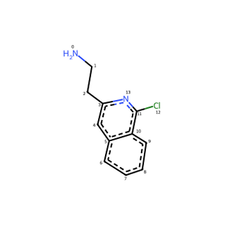 NCCc1cc2ccccc2c(Cl)n1